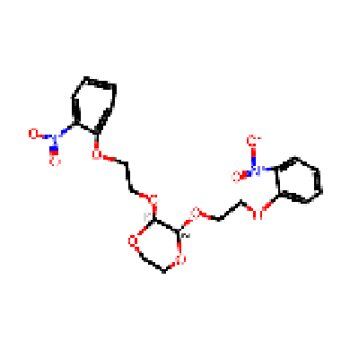 O=[N+]([O-])c1ccccc1OCCO[C@@H]1OCCO[C@@H]1OCCOc1ccccc1[N+](=O)[O-]